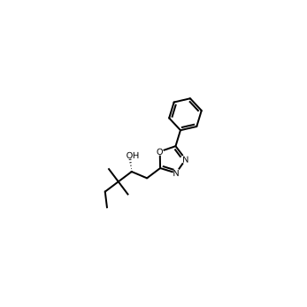 CCC(C)(C)[C@H](O)Cc1nnc(-c2ccccc2)o1